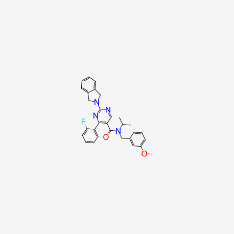 COc1cccc(CN(C(=O)c2cnc(N3Cc4ccccc4C3)nc2-c2ccccc2F)C(C)C)c1